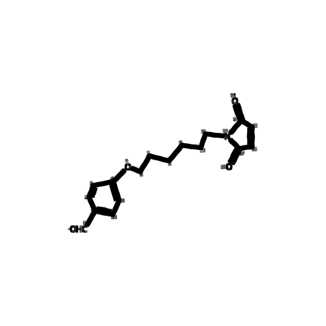 O=[C]c1ccc(OCCCCCCN2C(=O)C=CC2=O)cc1